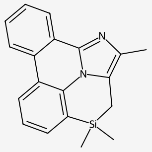 Cc1nc2c3ccccc3c3cccc4c3n2c1C[Si]4(C)C